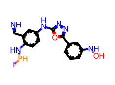 N=Cc1cc(Nc2nnc(-c3cccc(NO)c3)o2)ccc1NPI